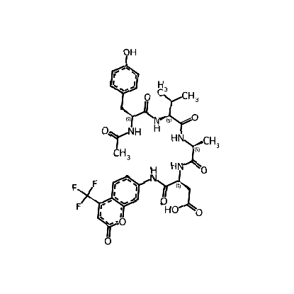 CC(=O)N[C@@H](Cc1ccc(O)cc1)C(=O)N[C@H](C(=O)N[C@@H](C)C(=O)N[C@@H](CC(=O)O)C(=O)Nc1ccc2c(C(F)(F)F)cc(=O)oc2c1)C(C)C